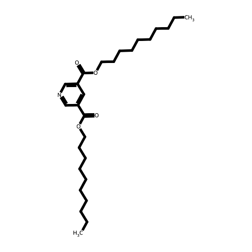 CCCCCCCCCCOC(=O)c1cncc(C(=O)OCCCCCCCCCC)c1